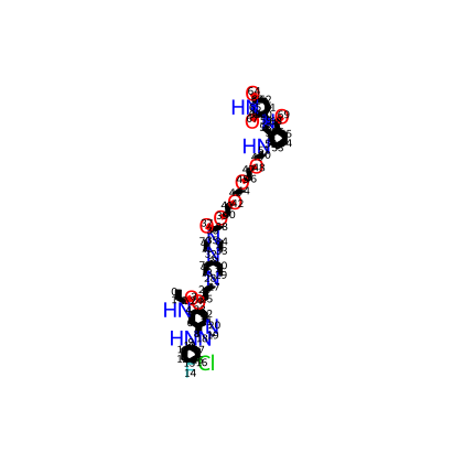 C=CC(=O)Nc1cc2c(Nc3ccc(F)c(Cl)c3)ncnc2cc1OCCCN1CCC(N2CCN(C(=O)COCCOCCOCCOCCNc3cccc4c3CN(C3CCC(=O)NC3=O)C4=O)CC2)CC1